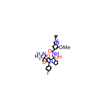 COc1cc(C(=O)NC[C@](O)(c2cc3c(c(-c4ccc(F)cc4)n2)OC[C@]3(C)C(N)=O)C2CCCC2)cc2cn(C3CC3)nc12